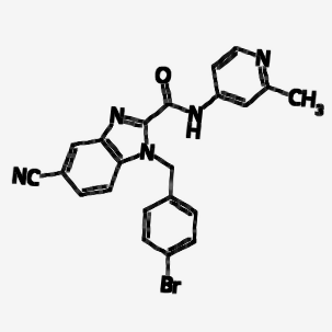 Cc1cc(NC(=O)c2nc3cc(C#N)ccc3n2Cc2ccc(Br)cc2)ccn1